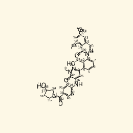 Cn1nc(-c2cccc(-n3ncc4cc(C(C)(C)C)cc(F)c4c3=O)c2CO)cc(Nc2ccc(C(=O)N3CCC(O)C3)cn2)c1=O